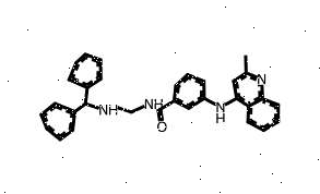 Cc1cc(Nc2cccc(C(=O)NCCNC(c3ccccc3)c3ccccc3)c2)c2ccccc2n1